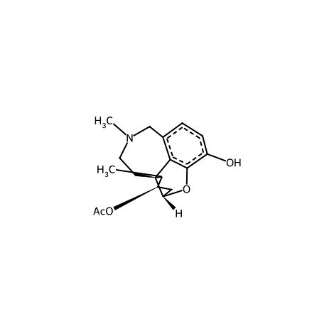 CC(=O)O[C@@H]1C[C@@H]2Oc3c(O)ccc4c3[C@]2(CCN(C)C4)C1C